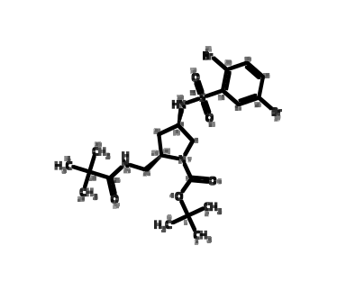 CC(C)(C)OC(=O)N1C[C@H](NS(=O)(=O)c2cc(Br)ccc2Br)C[C@@H]1CNC(=O)C(C)(C)C